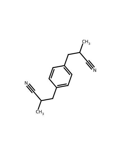 CC(C#N)Cc1ccc(CC(C)C#N)cc1